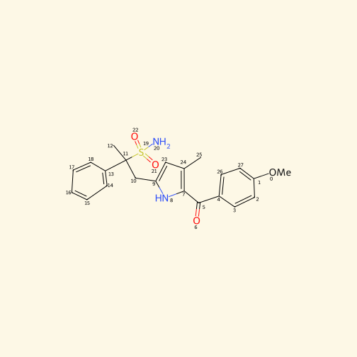 COc1ccc(C(=O)c2[nH]c(CC(C)(c3ccccc3)S(N)(=O)=O)cc2C)cc1